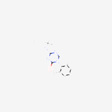 Cc1cccc(Cl)c1-n1cnc(NC(C)(C)C)nc1=O